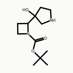 CC(C)(C)OC(=O)N1CCC1C1(O)CCNC1